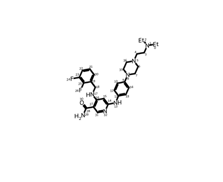 CCN(CC)CCN1CCN(c2ccc(Nc3cc(NCc4cccc(F)c4F)c(C(N)=O)cn3)cc2)CC1